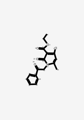 CCOC(=O)c1c(Cl)cc(C)n(CC(=O)c2ccccc2)c1=O